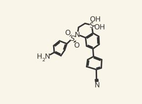 N#Cc1ccc(-c2ccc3c(c2)N(S(=O)(=O)c2ccc(N)cc2)CCS3(O)O)cc1